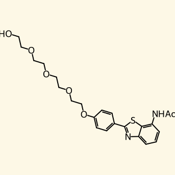 CC(=O)Nc1cccc2nc(-c3ccc(OCCOCCOCCOCCO)cc3)sc12